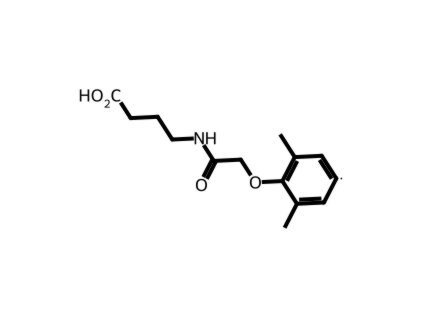 Cc1c[c]cc(C)c1OCC(=O)NCCCC(=O)O